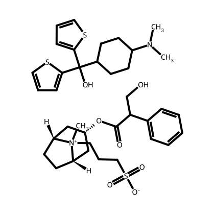 CN(C)C1CCC(C(O)(c2cccs2)c2cccs2)CC1.C[N+]1(CCCS(=O)(=O)[O-])[C@@H]2CC[C@H]1C[C@@H](OC(=O)C(CO)c1ccccc1)C2